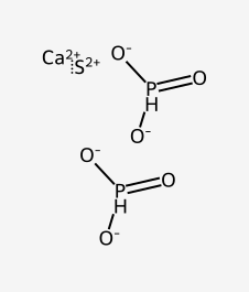 O=[PH]([O-])[O-].O=[PH]([O-])[O-].[Ca+2].[S+2]